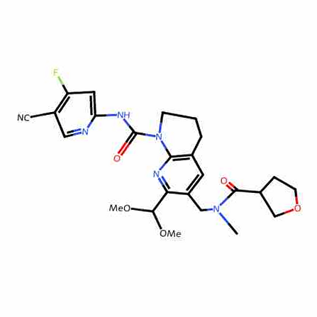 COC(OC)c1nc2c(cc1CN(C)C(=O)C1CCOC1)CCCN2C(=O)Nc1cc(F)c(C#N)cn1